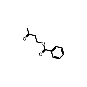 CC(=O)CCOC(=O)c1ccccc1